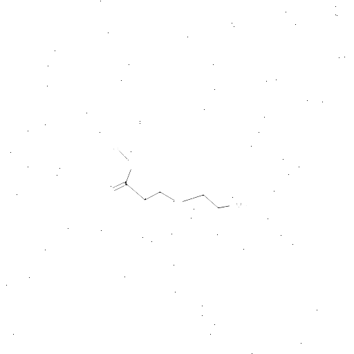 CSCCOCCC(=O)OC(C)(C)C